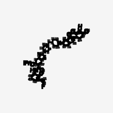 CC(C)Oc1cc2nc(N3CCN(CC4CCN(c5ccc6c(c5)C(=O)N(C5CCC(=O)NC5=O)C6)CC4)CC3)sc2cc1C(=O)Nc1cccn([C@H]2C[C@H]2F)c1=O